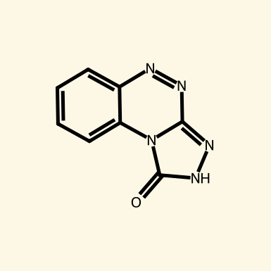 O=c1[nH]nc2nnc3ccccc3n12